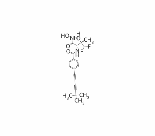 CC(C)(C)C#CC#Cc1ccc(C(=O)N[C@H](C(=O)NO)[C@](C)(O)C(F)F)cc1